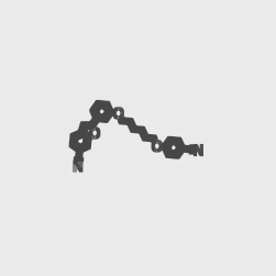 N#Cc1ccc(OCCCCCCOc2cccc(-c3cc4ccc(C#N)cc4o3)c2)cc1